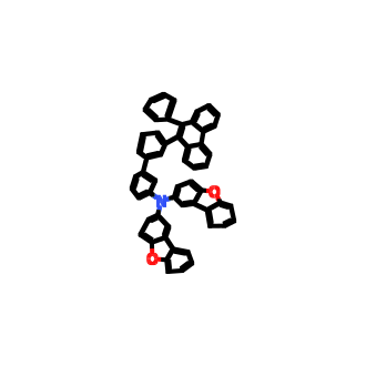 c1ccc(-c2c(-c3cccc(-c4cccc(N(c5ccc6oc7ccccc7c6c5)c5ccc6oc7ccccc7c6c5)c4)c3)c3ccccc3c3ccccc23)cc1